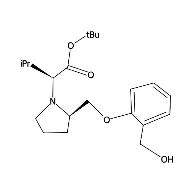 CC(C)[C@@H](C(=O)OC(C)(C)C)N1CCC[C@@H]1COc1ccccc1CO